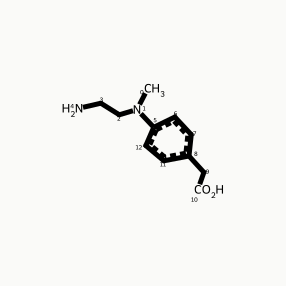 CN(CCN)c1ccc(CC(=O)O)cc1